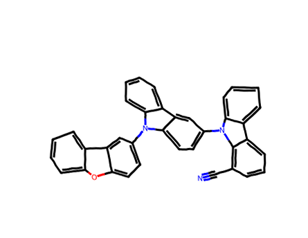 N#Cc1cccc2c3ccccc3n(-c3ccc4c(c3)c3ccccc3n4-c3ccc4oc5ccccc5c4c3)c12